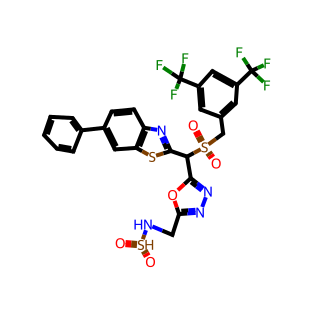 O=[SH](=O)NCc1nnc(C(c2nc3ccc(-c4ccccc4)cc3s2)S(=O)(=O)Cc2cc(C(F)(F)F)cc(C(F)(F)F)c2)o1